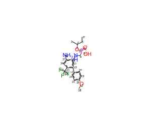 CCC(C)OP(=O)(O)CNc1cc(-c2ccc(OC)cc2)c(C(F)(F)F)cc1N